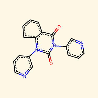 O=c1c2ccccc2n(-c2cccnc2)c(=O)n1-c1cccnc1